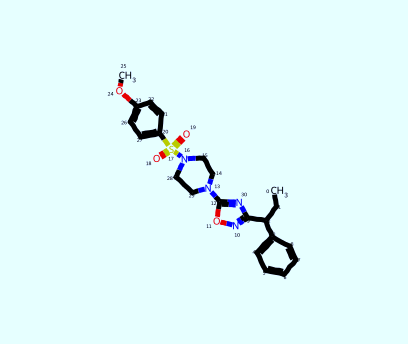 CCC(c1ccccc1)c1noc(N2CCN(S(=O)(=O)c3ccc(OC)cc3)CC2)n1